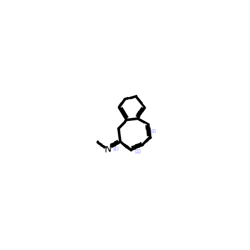 C/N=C1/C=C\C=C/C2=CCCC=C2C1